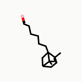 CC1=CCC2CC1(CCCCCC=O)C2(C)C